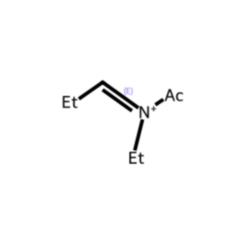 C[13C](=O)/[N+](=C/C[13CH3])[13CH2][13CH3]